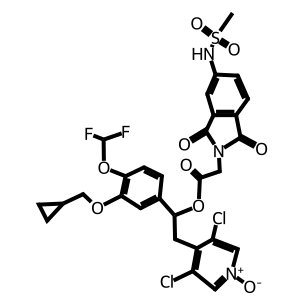 CS(=O)(=O)Nc1ccc2c(c1)C(=O)N(CC(=O)OC(Cc1c(Cl)c[n+]([O-])cc1Cl)c1ccc(OC(F)F)c(OCC3CC3)c1)C2=O